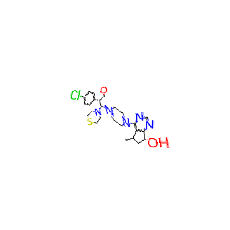 C[C@@H]1C[C@@H](O)c2ncnc(N3CCN(C(C(C=O)c4ccc(Cl)cc4)N4CCSCC4)CC3)c21